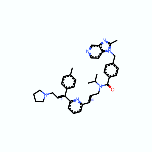 Cc1ccc(/C(=C\CN2CCCC2)c2cccc(/C=C/CN(C(=O)c3ccc(Cn4c(C)nc5cnccc54)cc3)C(C)C)n2)cc1